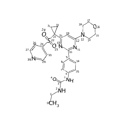 CCNC(=O)Nc1ccc(-c2nc(N3CCOCC3)cc(C3(S(=O)(=O)c4ccncc4)CC3)n2)cc1